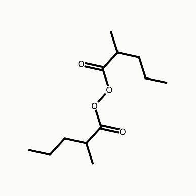 CCCC(C)C(=O)OOC(=O)C(C)CCC